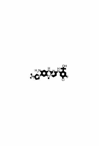 COc1cc(N2CC[C@@H](N(C)C)C2)c(N)cc1Nc1nccc(Nc2cc(Cl)c(F)cc2C(C)(C)O)n1